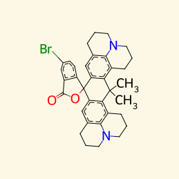 CC1(C)c2c(cc3c4c2CCCN4CCC3)C2(OC(=O)c3cc(Br)ccc32)c2cc3c4c(c21)CCCN4CCC3